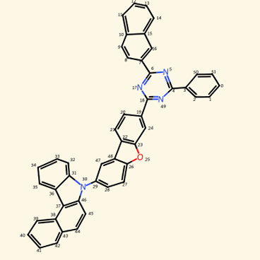 c1ccc(-c2nc(-c3ccc4ccccc4c3)nc(-c3ccc4c(c3)oc3ccc(-n5c6ccccc6c6c7ccccc7ccc65)cc34)n2)cc1